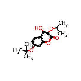 CC(C)Oc1c(O)c2ccc(OC(C)(C)C)cc2oc1=O